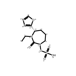 CCN1C(=O)N(OS(=O)(=O)O)CCC[C@H]1c1nnco1